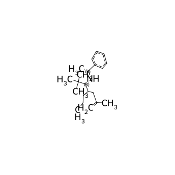 C=C(C)CC(CCC)[C@@H](N[C@H](C)c1ccccc1)C(C)(C)C